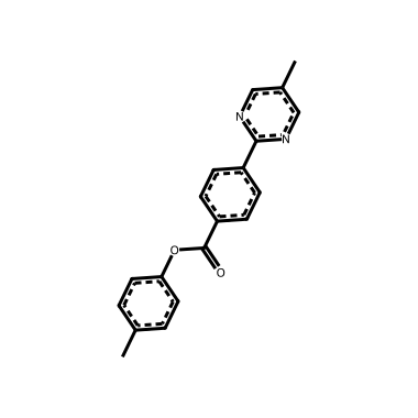 Cc1ccc(OC(=O)c2ccc(-c3ncc(C)cn3)cc2)cc1